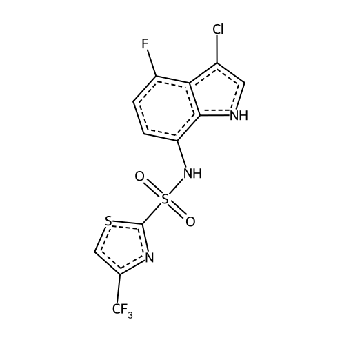 O=S(=O)(Nc1ccc(F)c2c(Cl)c[nH]c12)c1nc(C(F)(F)F)cs1